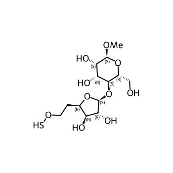 CO[C@H]1O[C@H](CO)[C@@H](O[C@@H]2O[C@H](CCOS)[C@H](O)[C@H]2O)[C@H](O)[C@@H]1O